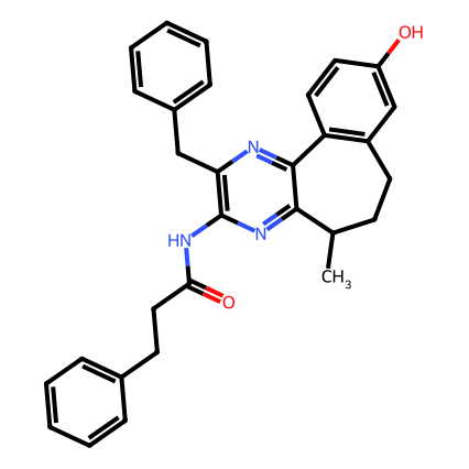 CC1CCc2cc(O)ccc2-c2nc(Cc3ccccc3)c(NC(=O)CCc3ccccc3)nc21